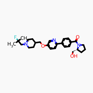 CC(C)(F)CN1CCC(COc2ccc(-c3ccc(C(=O)N4CCC[C@@H]4CO)cc3)nc2)CC1